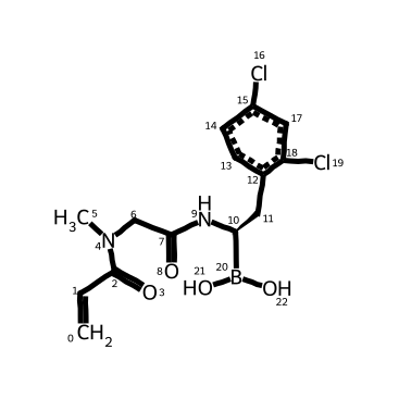 C=CC(=O)N(C)CC(=O)N[C@@H](Cc1ccc(Cl)cc1Cl)B(O)O